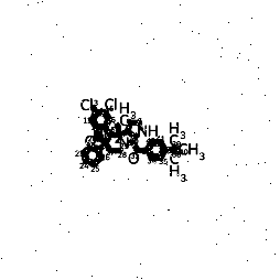 CCC1(C2CCNC2)C(c2ccc(Cl)c(Cl)c2)C(C(N)=O)(c2ccccc2)CCN1CC(=O)c1ccc(C(C)(C)C)cc1